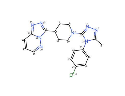 Cc1nnc(N2CCC(c3nnc4cccnn34)CC2)n1-c1ccc(Cl)cc1